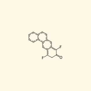 O=C1CC(F)=c2cc3c(ccc4ccccc43)cc2=C1F